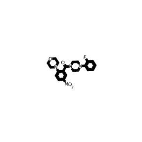 O=C(c1cc([N+](=O)[O-])ccc1N1CCOCC1)N1CCN(c2ccccc2F)CC1